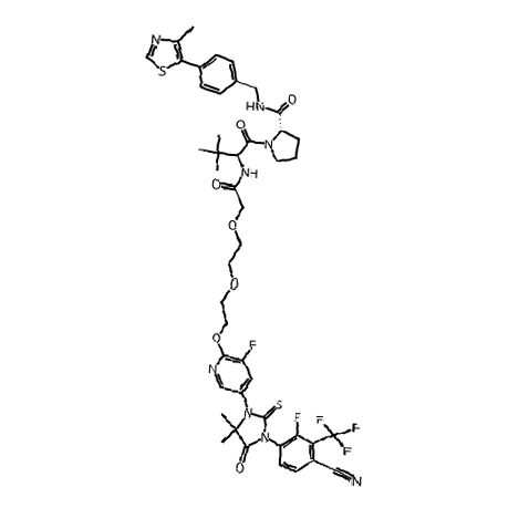 Cc1ncsc1-c1ccc(CNC(=O)[C@@H]2CCCN2C(=O)[C@@H](NC(=O)COCCOCCOc2ncc(N3C(=S)N(c4ccc(C#N)c(C(F)(F)F)c4F)C(=O)C3(C)C)cc2F)C(C)(C)C)cc1